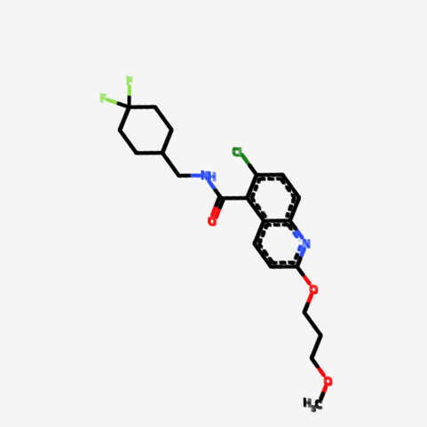 COCCCOc1ccc2c(C(=O)NCC3CCC(F)(F)CC3)c(Cl)ccc2n1